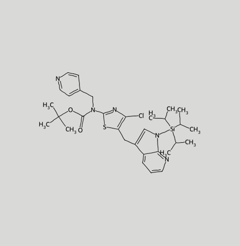 CC(C)[Si](C(C)C)(C(C)C)n1cc(Cc2sc(N(Cc3ccncc3)C(=O)OC(C)(C)C)nc2Cl)c2cccnc21